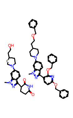 Cn1nc(-c2ccc(OCc3ccccc3)nc2OCc2ccccc2)c2ccc(N3CCC(CCOCc4ccccc4)CC3)cc21.Cn1nc(C2CCC(=O)NC2=O)c2ccc(N3CCC(CCO)CC3)cc21